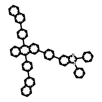 c1ccc(-c2nc3cc(-c4ccc(-c5ccc6c(-c7ccc(-c8ccc9ccccc9c8)cc7)c7ccccc7c(-c7ccc(-c8ccc9ccccc9c8)cc7)c6c5)cc4)ccc3n2-c2ccccc2)cc1